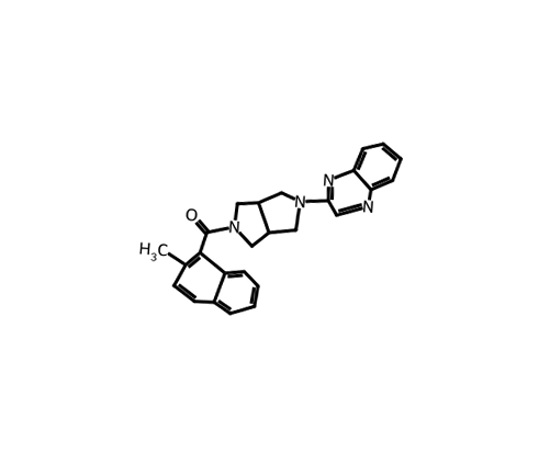 Cc1ccc2ccccc2c1C(=O)N1CC2CN(c3cnc4ccccc4n3)CC2C1